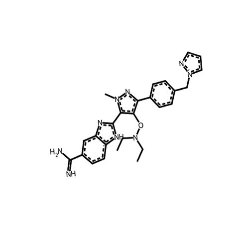 CCN(CC)Oc1c(-c2ccc(Cn3cccn3)cc2)nn(C)c1-c1nc2cc(C(=N)N)ccc2[nH]1